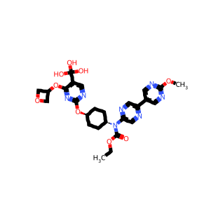 CCOC(=O)N(c1cnc(-c2cnc(OC)nc2)cn1)[C@H]1CC[C@H](Oc2ncc(C(O)(O)O)c(OC3COC3)n2)CC1